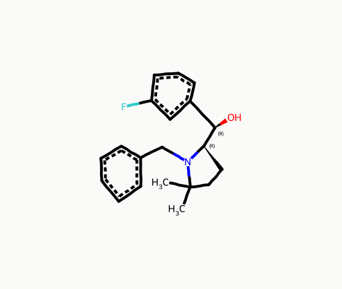 CC1(C)CC[C@H]([C@H](O)c2cccc(F)c2)N1Cc1ccccc1